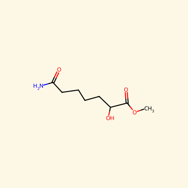 COC(=O)C(O)CCCCC(N)=O